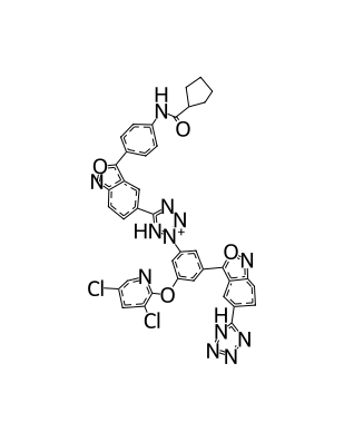 O=C(Nc1ccc(-c2onc3ccc(-c4nn[n+](-c5cc(Oc6ncc(Cl)cc6Cl)cc(-c6onc7ccc(-c8nnn[nH]8)cc67)c5)[nH]4)cc23)cc1)C1CCCC1